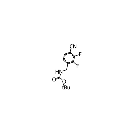 CC(C)(C)OC(=O)NCc1ccc(C#N)c(F)c1F